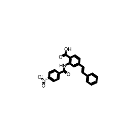 O=C(Nc1cc(C=Cc2ccccc2)ccc1C(=O)O)c1ccc([N+](=O)[O-])cc1